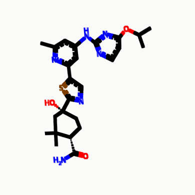 Cc1cc(Nc2nccc(OC(C)C)n2)cc(-c2cnc([C@@]3(O)CC[C@H](C(N)=O)C(C)(C)C3)s2)n1